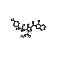 NC(=O)c1nc(C(=O)N2Cc3ccccc3C2=O)[nH]c1NC(=O)Nc1ccc(Cl)cc1